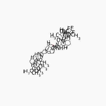 CC(C)[C@H](NC(=O)OC(C)(C)C)C(=O)N1[C@H](c2nc3cc(C4=C5C=C[C@@H](CC[C@H]6CC=C(C=C6c6ccc7[nH]c([C@@H]8C[C@@H]9CCCC[C@@H]9N8C(=O)[C@@H](NC(=O)OC(C)(C)C(F)(F)F)C(C)C)nc7c6)CC5)C4)ccc3[nH]2)C[C@@H]2CCCC[C@@H]21